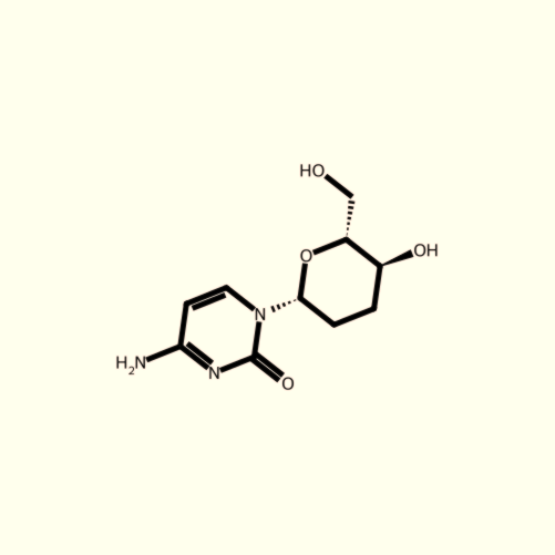 Nc1ccn([C@H]2CC[C@H](O)[C@@H](CO)O2)c(=O)n1